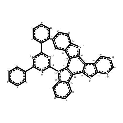 c1ccc(-c2nc(-c3ccccc3)nc(-n3c4ccccc4c4c5sc6ncncc6c5c5sc6ccccc6c5c43)n2)cc1